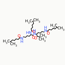 CC(C)CCCCC(=O)NCCCCC(NC(=O)CCCCC(C)C)C(=O)NC(CCCCNC(=O)CCCCC(C)C)C(=O)C(C)C